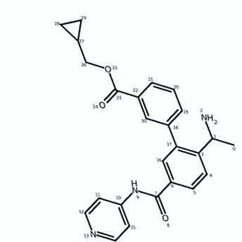 CC(N)c1ccc(C(=O)Nc2ccncc2)cc1-c1cccc(C(=O)OCC2CC2)c1